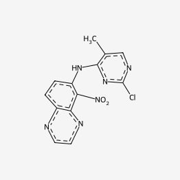 Cc1cnc(Cl)nc1Nc1ccc2nccnc2c1[N+](=O)[O-]